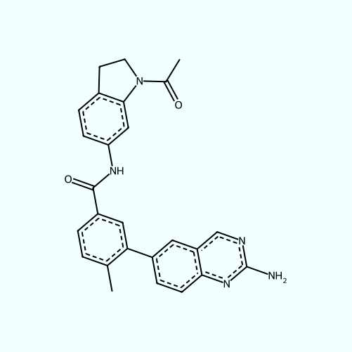 CC(=O)N1CCc2ccc(NC(=O)c3ccc(C)c(-c4ccc5nc(N)ncc5c4)c3)cc21